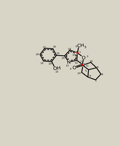 CCOC(=O)C1C2CCC1CN(c1nc(-c3ccccc3O)cs1)C2